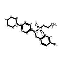 CCCS(=O)(=O)N(Cc1ccc(F)cc1)c1ccc(N2CCCCC2)nc1